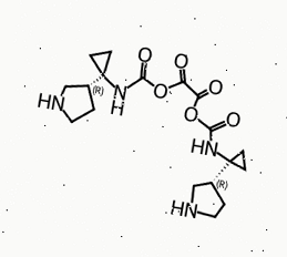 O=C(NC1([C@@H]2CCNC2)CC1)OC(=O)C(=O)OC(=O)NC1([C@@H]2CCNC2)CC1